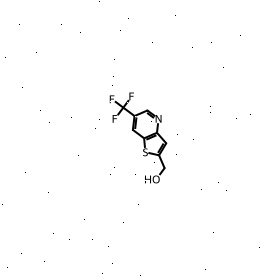 OCc1cc2ncc(C(F)(F)F)cc2s1